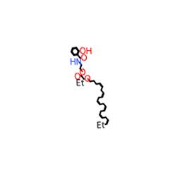 CC/C=C\C/C=C\C/C=C\C/C=C\C/C=C\C/C=C\CCCOC(CC)C(=O)OCCNC(=O)c1ccccc1O